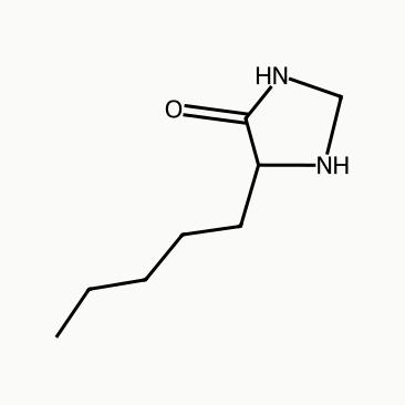 CCCCCC1NCNC1=O